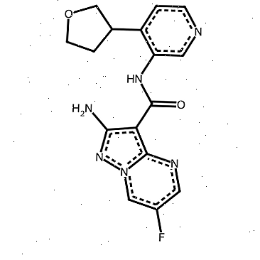 Nc1nn2cc(F)cnc2c1C(=O)Nc1cnccc1C1CCOC1